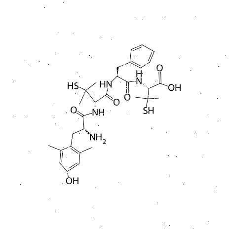 Cc1cc(O)cc(C)c1C[C@H](N)C(=O)N[C@@H](C(=O)N[C@@H](Cc1ccccc1)C(=O)N[C@H](C(=O)O)C(C)(C)S)C(C)(C)S